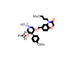 COCCCN1C(=O)COc2ccc(CO[C@H]3CN(C(=O)O)C[C@@H](O[Si](C(C)C)(C(C)C)C(C)C)[C@@H]3c3ccc(OC)cc3)cc21